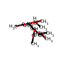 CCCCCCCCCCCOC(=O)CCCCCN(CCCCCCCC(=O)NC(CCCCCCCC)CCCCCCCC)CCNC(=O)CCC(=O)NCCN(CCCCCCC(C)(C)C(=O)NC(CCCCCCCC)CCCCCCCC)CCCCCC(=O)OCCCCCCCCCCC